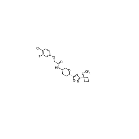 O=C(COc1ccc(Cl)c(F)c1)N[C@@H]1CC[C@@H](c2nc(C3(OC(F)(F)F)CCC3)no2)OC1